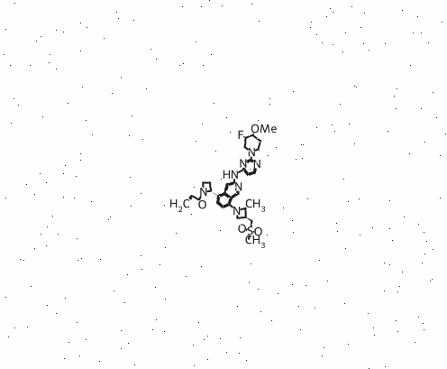 C=CC(=O)N1CC[C@@H]1c1ccc(N2C[C@H](CS(C)(=O)=O)[C@H]2C)c2cnc(Nc3ccnc(N4CC[C@@H](OC)[C@@H](F)C4)n3)cc12